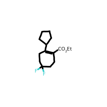 CCOC(=O)C1=C(C2CCCC2)CCC(F)(F)CC1